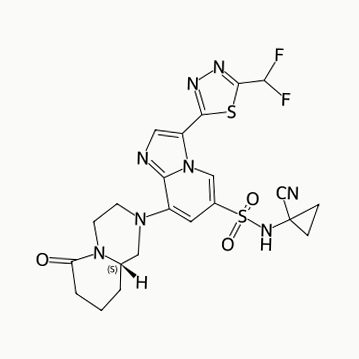 N#CC1(NS(=O)(=O)c2cc(N3CCN4C(=O)CCC[C@H]4C3)c3ncc(-c4nnc(C(F)F)s4)n3c2)CC1